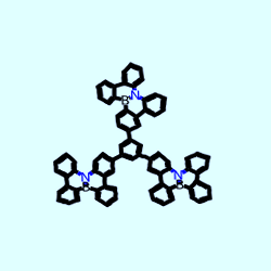 c1ccc2c(c1)B1c3ccc(-c4cc(-c5ccc6c(c5)-c5ccccc5B5c7ccccc7-c7ccccc7N56)cc(-c5ccc6c(c5)-c5ccccc5B5c7ccccc7-c7ccccc7N56)c4)cc3-c3ccccc3N1c1ccccc1-2